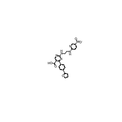 O=C(O)c1cnc(NCCNc2ccc([N+](=O)[O-])cn2)nc1-c1ccc(-c2ccco2)cc1